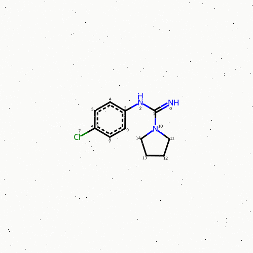 N=C(Nc1ccc(Cl)cc1)N1CCCC1